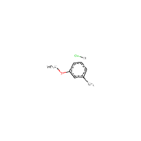 CCCl.O=C(O)Oc1cccc(C(F)(F)F)c1